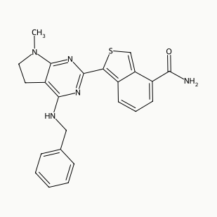 CN1CCc2c(NCc3ccccc3)nc(-c3scc4c(C(N)=O)cccc34)nc21